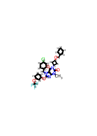 Cn1c(=O)n(C2CC(OCc3ccccc3)C2)c(=O)c2c1nc(Oc1cccc(OC(F)(F)F)c1)n2Cc1ccc(Cl)cc1